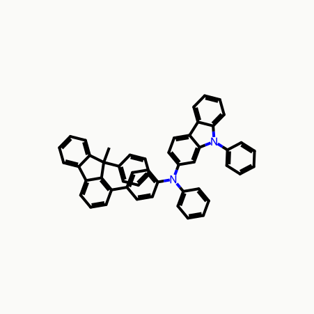 CC1(c2ccccc2)c2ccccc2-c2cccc(-c3ccc(N(c4ccccc4)c4ccc5c6ccccc6n(-c6ccccc6)c5c4)cc3)c21